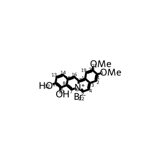 COc1cc2cc[n+]3cc4c(O)c(O)ccc4cc3c2cc1OC.[Br-]